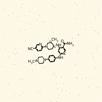 C[C@H]1CN(c2ccc(C#N)cn2)CC[C@H]1Nc1cc(Nc2ccc(N3CCN(C)CC3)cc2)ncc1C(N)=O